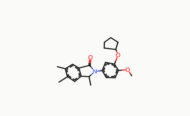 COc1ccc(N2C(=O)c3cc(C)c(C)cc3C2C)cc1OC1CCCC1